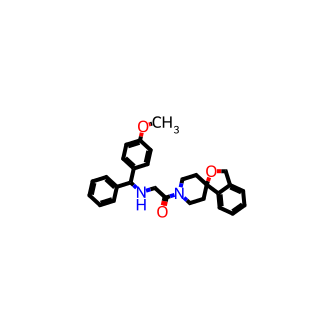 COc1ccc(C(NCC(=O)N2CCC3(CC2)OCc2ccccc23)c2ccccc2)cc1